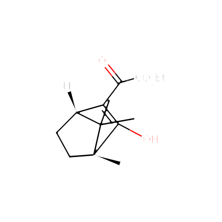 CCOC(=O)C(=O)C1=C(O)[C@]2(C)CC[C@H]1C2(C)C